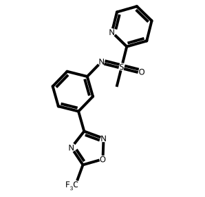 CS(=O)(=Nc1cccc(-c2noc(C(F)(F)F)n2)c1)c1ccccn1